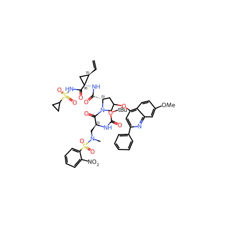 C=C[C@@H]1C[C@]1(NC(=O)[C@@H]1CC(Oc2cc(-c3ccccc3)nc3cc(OC)ccc23)CN1C(=O)[C@H](CN(C)S(=O)(=O)c1ccccc1[N+](=O)[O-])NC(=O)OC(C)(C)C)C(=O)NS(=O)(=O)C1CC1